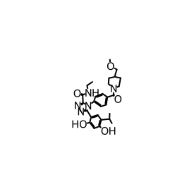 CCNC(=O)c1nnc(-c2cc(C(C)C)c(O)cc2O)n1-c1ccc(C(=O)N2CCC(COC)CC2)cc1